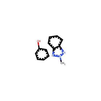 Cn1nc2ccccc2n1.Oc1ccccc1